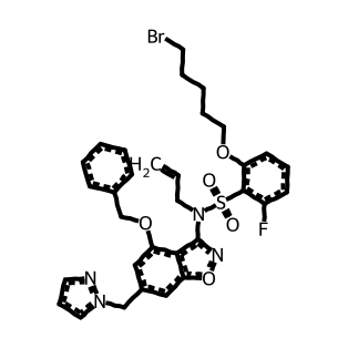 C=CCN(c1noc2cc(Cn3cccn3)cc(OCc3ccccc3)c12)S(=O)(=O)c1c(F)cccc1OCCCCCBr